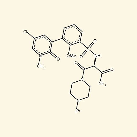 COc1c(-c2cc(Cl)cn(C)c2=O)cccc1S(=O)(=O)N[C@@H](C(N)=O)C(=O)N1CCN(C(C)C)CC1